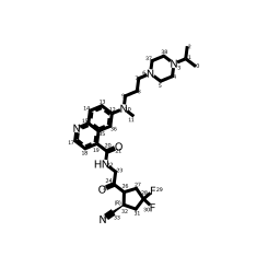 CC(C)N1CCN(CCCN(C)c2ccc3nccc(C(=O)NCC(=O)C4CC(F)(F)C[C@H]4C#N)c3c2)CC1